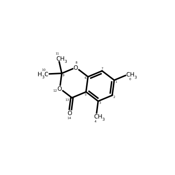 Cc1cc(C)c2c(c1)OC(C)(C)OC2=O